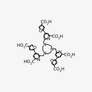 O=C(O)c1coc(-c2cc(CN3CCN(Cc4cc(-c5cc(C(=O)O)co5)cc(C(=O)O)n4)CCN(Cc4cc(-c5cc(C(=O)O)co5)cc(C(=O)O)n4)CC3)nc(C(=O)O)c2)c1